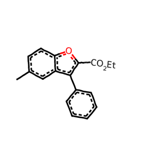 CCOC(=O)c1oc2ccc(C)cc2c1-c1ccccc1